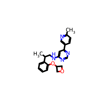 Cc1ccc(-c2cc(NCC(C)c3ccccc3OC3COC3)ncn2)cn1